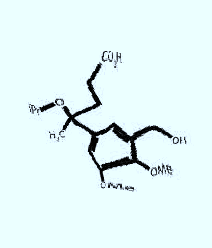 COc1cc(C(C)(CCC(=O)O)OC(C)C)cc(CO)c1OC